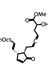 CCCCCCCCC=C[C@H]1C=CC(=O)[C@@H]1CC=C=CCC(O)C(=O)OC